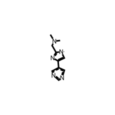 CN(C)CC1=NC(c2cncnc2)=C[N]1